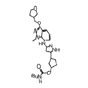 CCC(C)NC(=O)OC1CCC(C2CC(NC3C=CC=C4C(OCC5CCOC5)=NN(C)C43)=NN2)C1